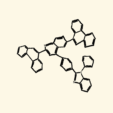 c1ccc(-n2c(-c3ccc(-c4cc(-c5cc6ccccc6c6ccccc56)nc5ccc(-c6cc7ccccc7c7ccccc67)cc45)cc3)nc3ccccc32)cc1